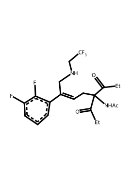 CCC(=O)C(CC=C(CNCC(F)(F)F)c1cccc(F)c1F)(NC(C)=O)C(=O)CC